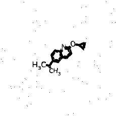 CC(C)c1ccc2nc(OC3CC3)ccc2c1